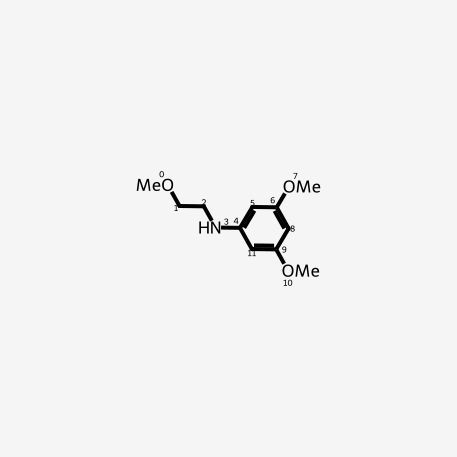 COCCNc1cc(OC)cc(OC)c1